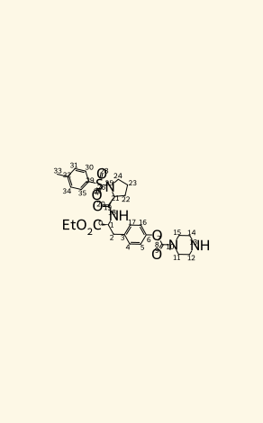 CCOC(=O)[C@H](Cc1ccc(OC(=O)N2CCNCC2)cc1)NC(=O)[C@@H]1CCCN1S(=O)(=O)c1ccc(C)cc1